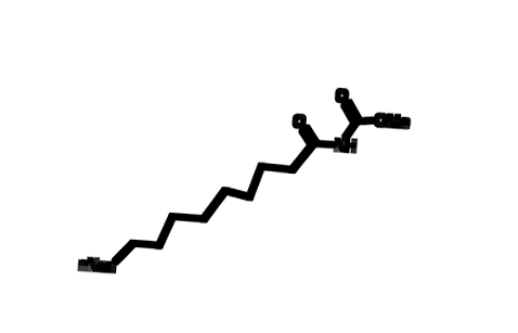 CCCCCCCCCCCCCCCCCC(=O)NC(=O)OC